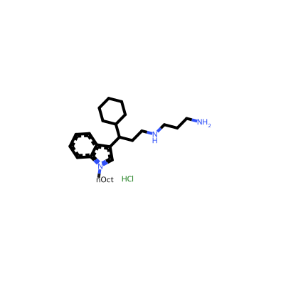 CCCCCCCCn1cc(C(CCNCCCN)C2CCCCC2)c2ccccc21.Cl